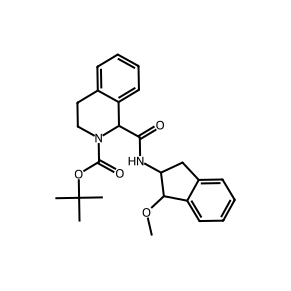 COC1c2ccccc2CC1NC(=O)C1c2ccccc2CCN1C(=O)OC(C)(C)C